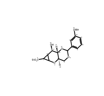 CCOC(=O)C1C2O[C@@H]3COC(c4cccc(OC)c4)O[C@H]3[C@H](O)C21